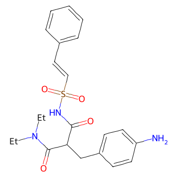 CCN(CC)C(=O)C(Cc1ccc(N)cc1)C(=O)NS(=O)(=O)/C=C/c1ccccc1